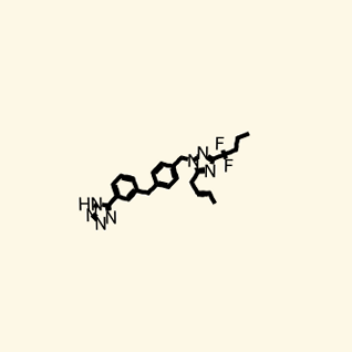 C/C=C/Cc1nc(C(F)(F)CCC)nn1Cc1ccc(Cc2cccc(-c3nnn[nH]3)c2)cc1